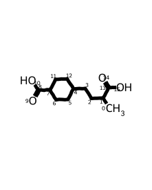 CC(CC[C]1CCC(C(=O)O)CC1)C(=O)O